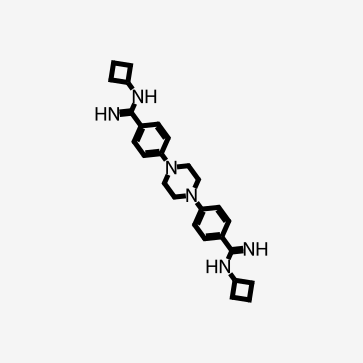 N=C(NC1CCC1)c1ccc(N2CCN(c3ccc(C(=N)NC4CCC4)cc3)CC2)cc1